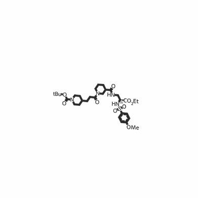 CCOC(=O)[C@H](CNC(=O)C1CCCN(C(=O)CCC2CCN(C(=O)OC(C)(C)C)CC2)C1)NS(=O)(=O)c1ccc(OC)cc1